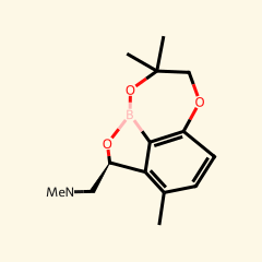 CNC[C@H]1OB2OC(C)(C)COc3ccc(C)c1c32